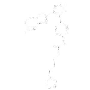 Cc1ccc2oc(-c3c[nH]nc3-c3ccc(NC(=O)CCCCc4cccs4)cc3)nc2c1